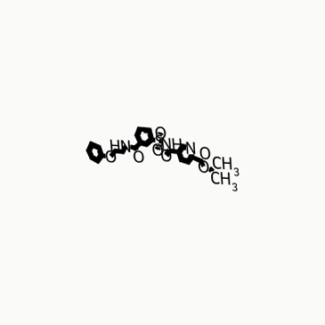 CC(C)OC(=O)c1ccc(C(=O)NS(=O)(=O)c2cccc(C(=O)NCCOc3ccccc3)c2)cn1